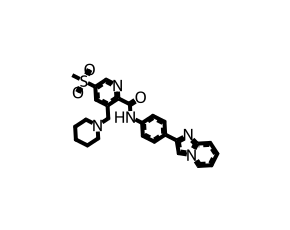 CS(=O)(=O)c1cnc(C(=O)Nc2ccc(-c3cn4ccccc4n3)cc2)c(CN2CCCCC2)c1